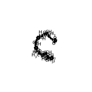 CN[C@H](C(=O)N[C@H](C(=O)N(C)C/C=C(\C)C(=O)NS(=O)(=O)c1ccc(CNC(=O)OCc2ccc(NC(=O)CNC(=O)C(NC(=O)CCCCCN3C(=O)CCC3=O)C(C)C)cc2)cc1)C(C)(C)C)C(C)(C)c1ccccc1